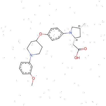 COc1cccc(N2CCC(Oc3ccc(N4C[C@H](C)C[C@@H]4CC(=O)O)cc3)CC2)c1